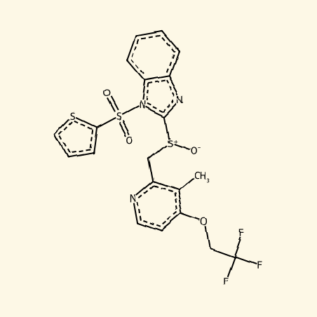 Cc1c(OCC(F)(F)F)ccnc1C[S+]([O-])c1nc2ccccc2n1S(=O)(=O)c1cccs1